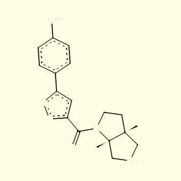 COc1ccc(-c2cc(C(=O)N3CC[C@@H]4CNC[C@@H]43)on2)cc1